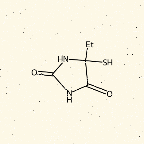 CCC1(S)NC(=O)NC1=O